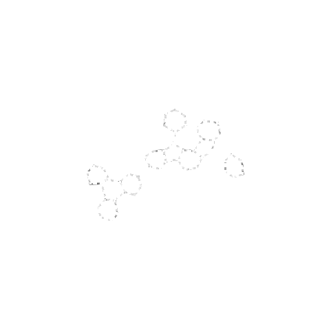 c1ccc(-n2c3ccccc3c3c2ccc2c4cc(-c5ccc6c7ccccc7c7ccccc7c6c5)ccc4n(-c4ccccc4)c23)cc1